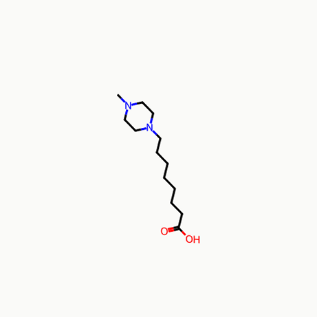 CN1CCN(CCCCCCCC(=O)O)CC1